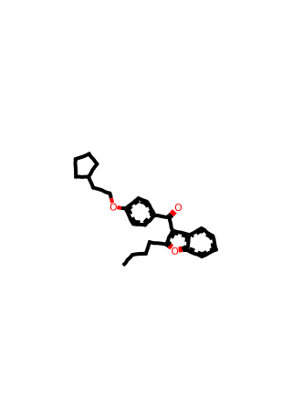 CCCCc1oc2ccccc2c1C(=O)c1ccc(OCCC2CCCC2)cc1